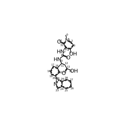 Cn1ccc(O)c(NC(=O)NC(CC(=O)O)c2cccc(-n3ncc4ccccc43)c2)c1=O